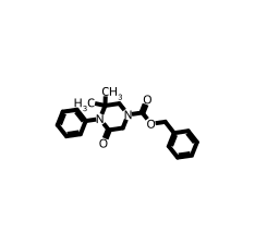 CC1(C)CN(C(=O)OCc2ccccc2)CC(=O)N1c1ccccc1